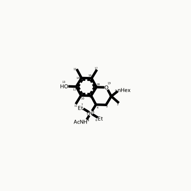 CCCCCCC1(C)CC([N+](CC)(CC)NC(C)=O)c2c(C)c(O)c(C)c(C)c2O1